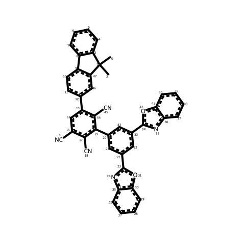 CC1(C)c2ccccc2-c2ccc(-c3cc(C#N)c(C#N)c(-c4cc(-c5nc6ccccc6o5)cc(-c5nc6ccccc6o5)c4)c3C#N)cc21